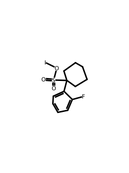 O=S(=O)(OI)C1(c2ccccc2F)CCCCC1